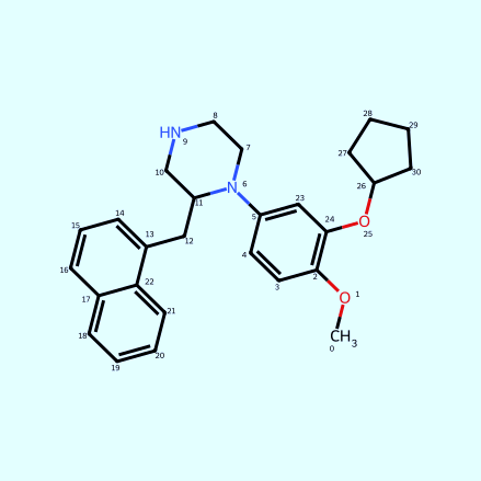 COc1ccc(N2CCNCC2Cc2cccc3ccccc23)cc1OC1CCCC1